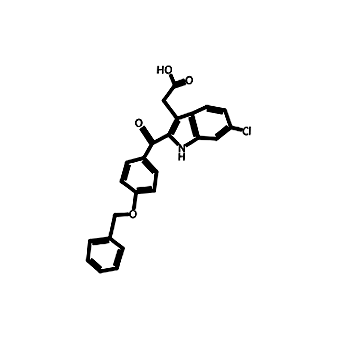 O=C(O)Cc1c(C(=O)c2ccc(OCc3ccccc3)cc2)[nH]c2cc(Cl)ccc12